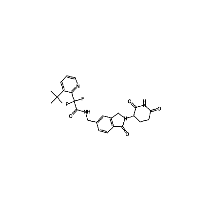 CC(C)(C)c1cccnc1C(F)(F)C(=O)NCc1ccc2c(c1)CN(C1CCC(=O)NC1=O)C2=O